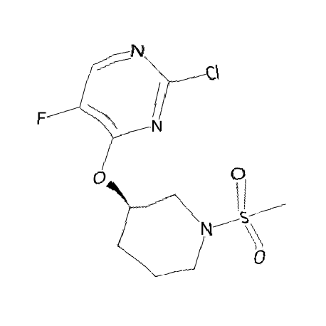 CS(=O)(=O)N1CCC[C@@H](Oc2nc(Cl)ncc2F)C1